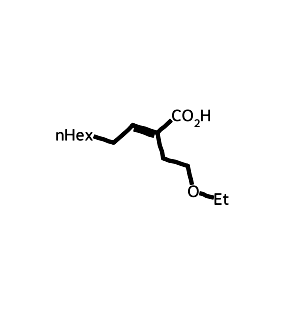 CCCCCCC/C=C(\CCOCC)C(=O)O